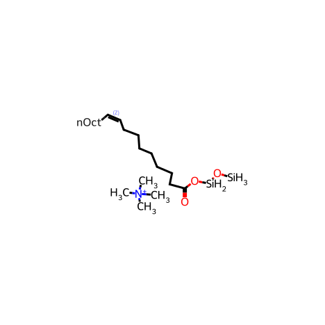 CCCCCCCC/C=C\CCCCCCCC(=O)O[SiH2]O[SiH3].C[N+](C)(C)C